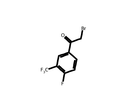 O=C(CBr)c1ccc(F)c(C(F)(F)F)c1